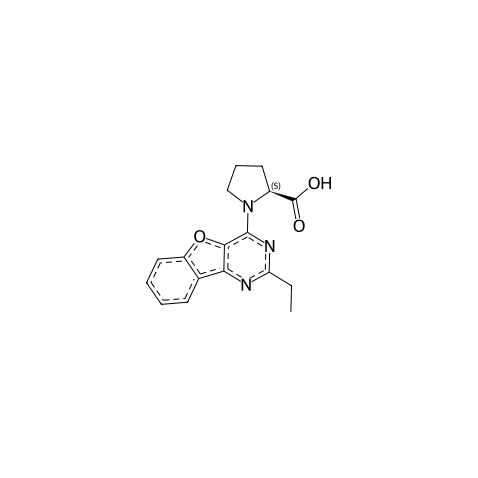 CCc1nc(N2CCC[C@H]2C(=O)O)c2oc3ccccc3c2n1